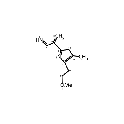 C=C(C=N)C1=NC(CCOC)=C(C)C1